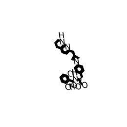 O=C(N[C@@H](Cc1ccc(N2CC(Cc3ccc4c(n3)NCCC4)C2)cc1)C(=O)O)c1c(Cl)cccc1Cl